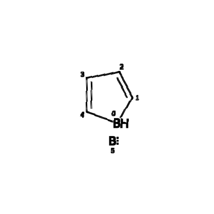 B1C=CC=C1.[B]